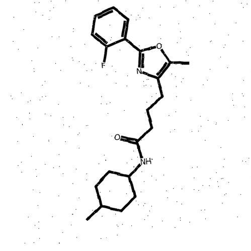 Cc1oc(-c2ccccc2F)nc1CCCC(=O)NC1CCC(C)CC1